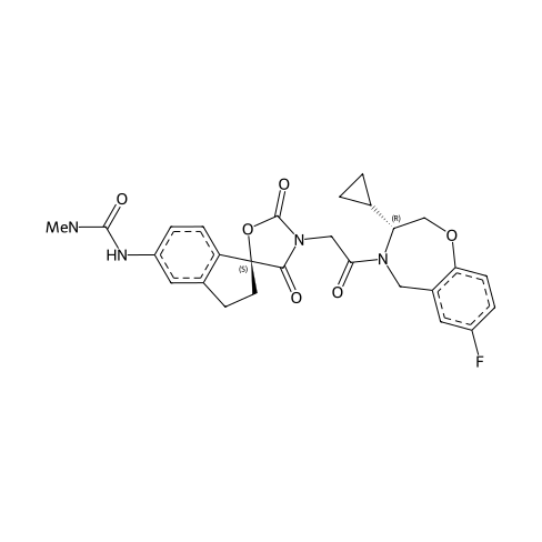 CNC(=O)Nc1ccc2c(c1)CC[C@]21OC(=O)N(CC(=O)N2Cc3cc(F)ccc3OC[C@H]2C2CC2)C1=O